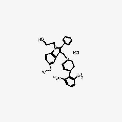 COc1ccc2c(c1)c(CN1CCC(c3c(C)cccc3C)CC1)c(-c1ccccc1)n2CCO.Cl